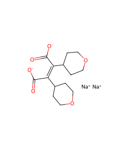 O=C([O-])/C(=C(\C(=O)[O-])C1CCOCC1)C1CCOCC1.[Na+].[Na+]